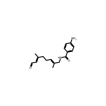 CC(=CC=O)CCC=C(C)CNC(=O)c1ccc(N)cc1